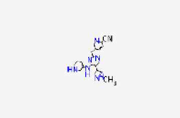 Cn1cc(-c2cnc(Cc3ccc(C#N)nc3)nc2N[C@H]2CCCNC2)cn1